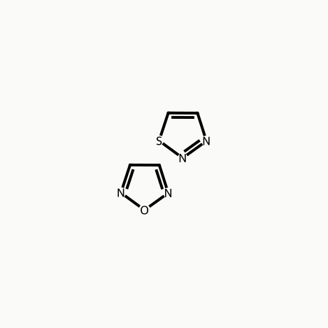 c1cnon1.c1csnn1